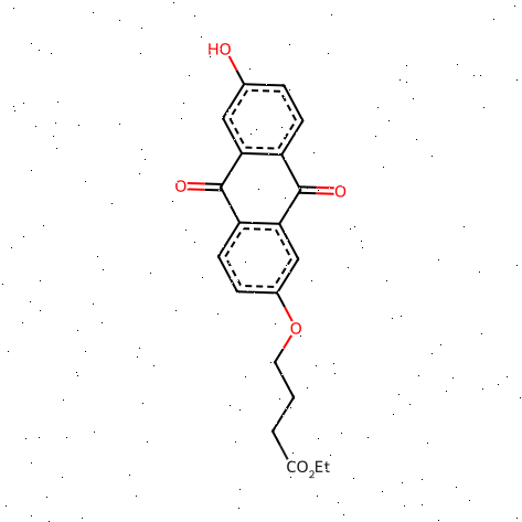 CCOC(=O)CCCOc1ccc2c(c1)C(=O)c1ccc(O)cc1C2=O